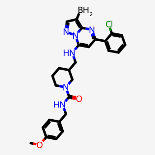 Bc1cnn2c(NCC3CCCN(C(=O)NCc4ccc(OC)cc4)C3)cc(-c3ccccc3Cl)nc12